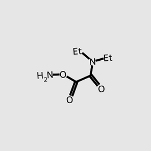 CCN(CC)C(=O)C(=O)ON